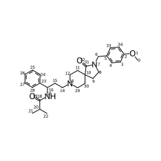 COc1ccc(CN2CCC3(CCN(CCC(NC(=O)C(C)C)c4ccccc4)CC3)C2=O)cc1